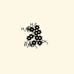 Cc1cccc(N(c2ccc([Si](C)(C)C)cc2)c2cc3c(c4ccccc24)c2c4ccccc4c(N(c4ccc([Si](C)(C)C)cc4)c4cccc(C)c4)cc2n3-c2ccc3ccccc3c2)c1